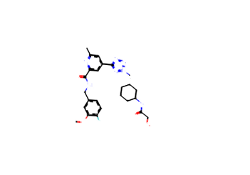 COc1cc(CNC(=O)c2cc(-c3nnn(C[C@H]4CCCC(NC(=O)CO)C4)n3)cc(C)n2)ccc1F